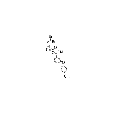 CC1(C)[C@H](C(=O)OC(C#N)c2cccc(Oc3ccc(C(F)(F)F)cc3)c2)[C@@H]1C=C(Br)Br